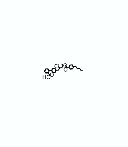 CCCCCc1ccc(C(=O)OC(C)CC(Cl)Cc2ccc(-c3ccccc3C(=O)O)cc2)cc1